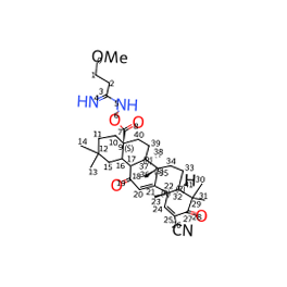 COCCC(=N)NOC(=O)[C@]12CCC(C)(C)CC1C1C(=O)C=C3[C@@]4(C)C=C(C#N)C(=O)C(C)(C)[C@@H]4CC[C@@]3(C)[C@]1(C)CC2